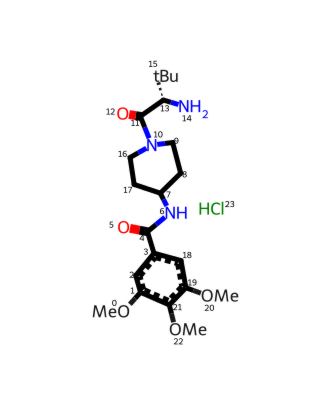 COc1cc(C(=O)NC2CCN(C(=O)[C@@H](N)C(C)(C)C)CC2)cc(OC)c1OC.Cl